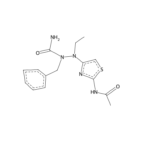 CCN(c1csc(NC(C)=O)n1)N(Cc1ccccc1)C(N)=O